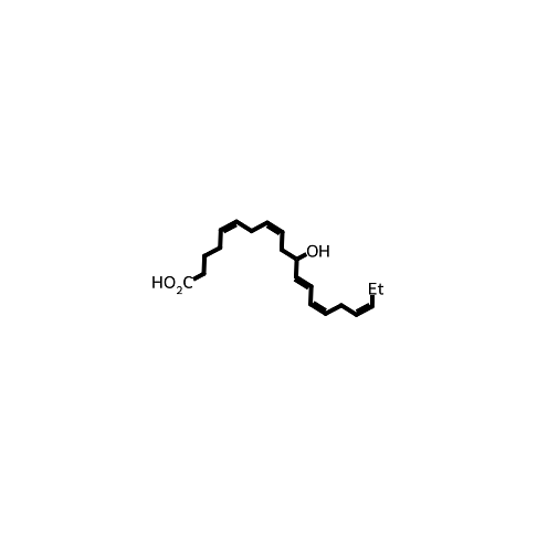 CC/C=C\C/C=C\C=C\C(O)C/C=C\C/C=C\CCCC(=O)O